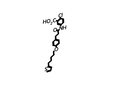 O=C(CCc1ccc(OCCCCCc2cccs2)cc1)Nc1ccc(Cl)c(C(=O)O)c1